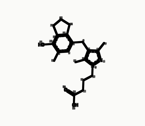 Cc1cc(Cc2c(C)nn(CCCC(=O)O)c2C)c2c(c1O)CCC2